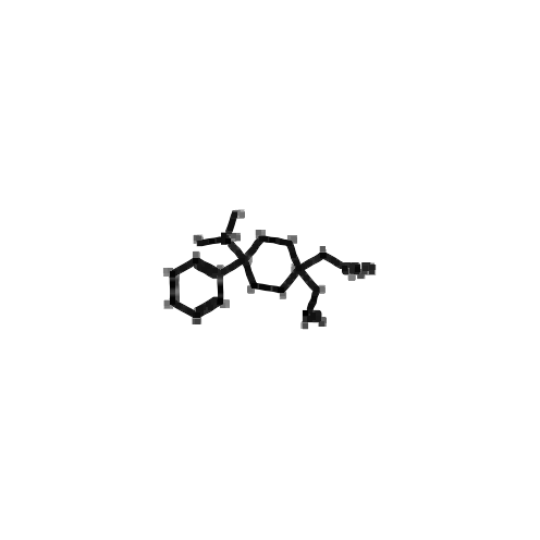 CCOC(=O)CC1(C[N+](=O)[O-])CCC(c2ccccc2)(N(C)C)CC1